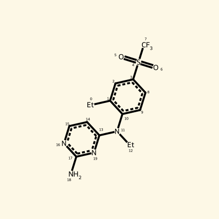 CCc1cc(S(=O)(=O)C(F)(F)F)ccc1N(CC)c1ccnc(N)n1